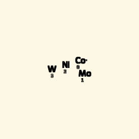 [Co].[Mo].[Ni].[W]